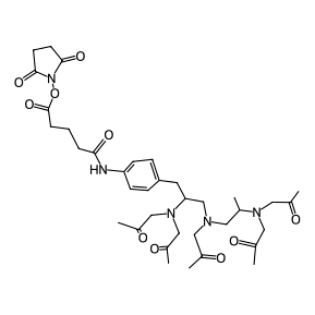 CC(=O)CN(CC(C)N(CC(C)=O)CC(C)=O)CC(Cc1ccc(NC(=O)CCCC(=O)ON2C(=O)CCC2=O)cc1)N(CC(C)=O)CC(C)=O